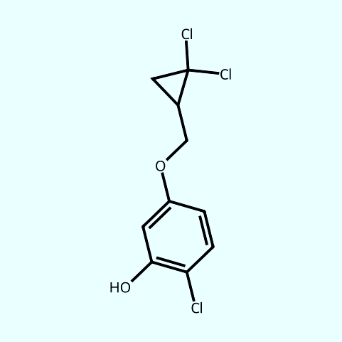 Oc1cc(OCC2CC2(Cl)Cl)ccc1Cl